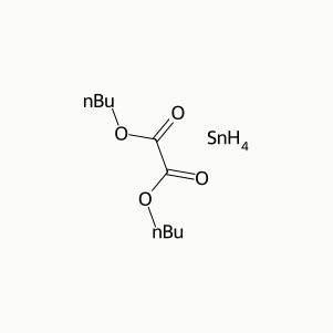 CCCCOC(=O)C(=O)OCCCC.[SnH4]